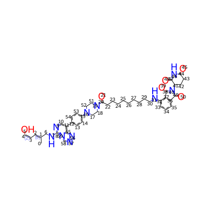 C/C(=C\C=C/O)CNc1ncc(-c2ccc(N3CCN(C(=O)CCCCCCCCCNc4cccc5c4C(=O)N(C4CCC(=O)NC4=O)C5=O)CC3)cc2)c2nncn12